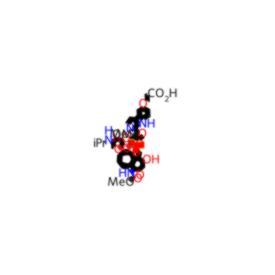 COC(=O)NC1C(=O)C[C@H](O)/C(=C/CS(C)(=S)=S)C2=C1C#C/C=C\C#C[C@@H]2OC1OC(C)C(SC)(C(=O)c2nccc3c2[nH]c2ccc(OCCC(=O)O)cc23)C(O)C1OC1CC(OC)C(NC(C)C)CO1